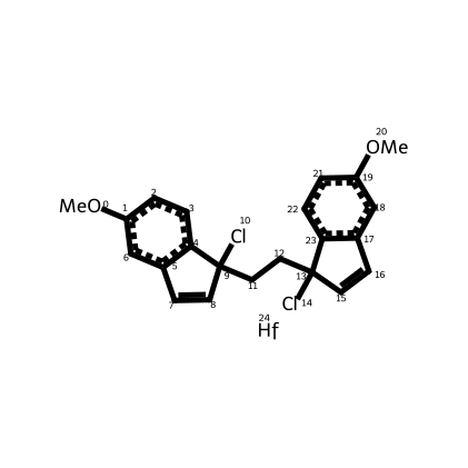 COc1ccc2c(c1)C=CC2(Cl)CCC1(Cl)C=Cc2cc(OC)ccc21.[Hf]